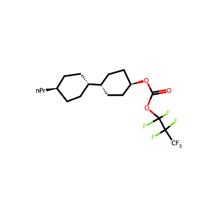 CCC[C@H]1CC[C@H]([C@H]2CC[C@H](OC(=O)OC(F)(F)C(F)(F)C(F)(F)F)CC2)CC1